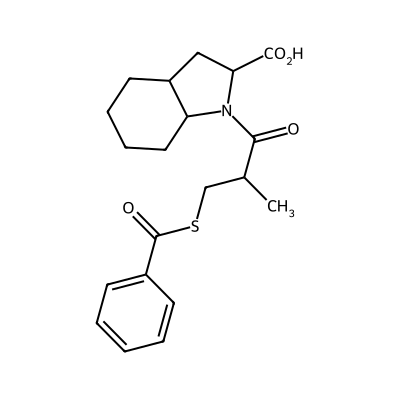 CC(CSC(=O)c1ccccc1)C(=O)N1C(C(=O)O)CC2CCCCC21